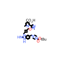 Cc1cc(C(=O)O)cc(-c2cnn(C)c2OCC2CC(Cn3c(=N)[nH]c4ccc(CN5CCN(C(=O)OC(C)(C)C)CC5)cc43)C2)n1